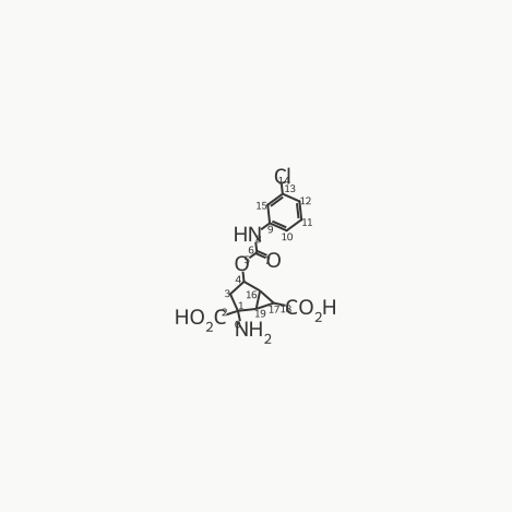 NC1(C(=O)O)CC(OC(=O)Nc2cccc(Cl)c2)C2C(C(=O)O)C21